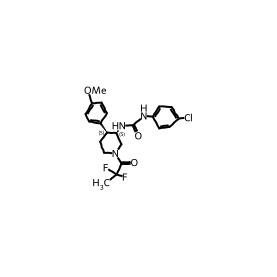 COc1ccc([C@@H]2CCN(C(=O)C(C)(F)F)C[C@H]2NC(=O)Nc2ccc(Cl)cc2)cc1